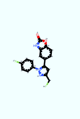 O=c1[nH]c2cc(-c3cc(CF)nn3-c3ccc(F)cc3)ccc2o1